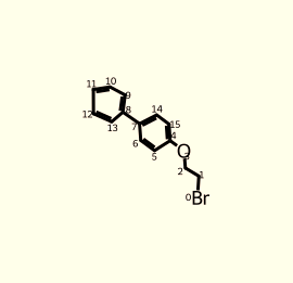 BrCCOc1ccc(-c2ccccc2)cc1